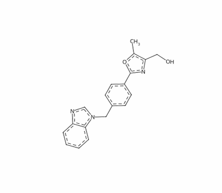 Cc1oc(-c2ccc(Cn3cnc4ccccc43)cc2)nc1CO